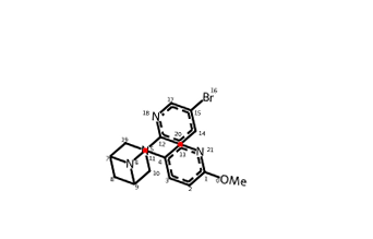 COc1ccc(CN2C3CC2CN(c2ccc(Br)cn2)C3)cn1